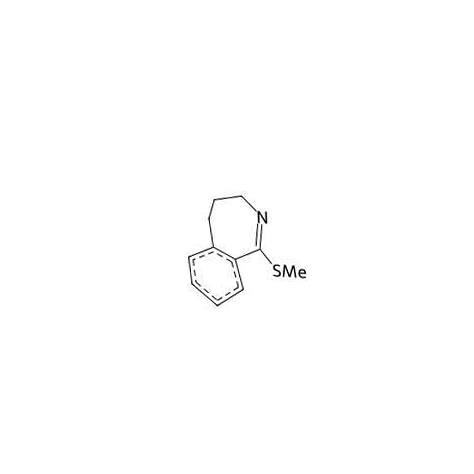 CSC1=NCCCc2ccccc21